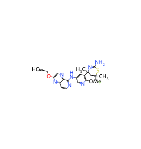 C#CCOc1cnc2c(Nc3cnc(OC)c([C@]4(C)C[C@](C)(CF)SC(N)=N4)c3)nccc2n1